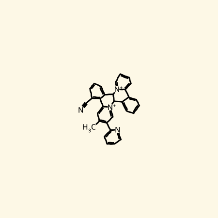 Cc1cc2[n+](cc1-c1ccccn1)C1c3ccccc3-c3cccc[n+]3C1c1cccc(C#N)c1-2